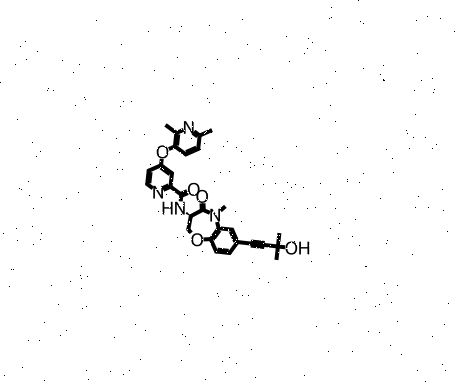 Cc1ccc(Oc2ccnc(C(=O)N[C@H]3COc4ccc(C#CC(C)(C)O)cc4N(C)C3=O)c2)c(C)n1